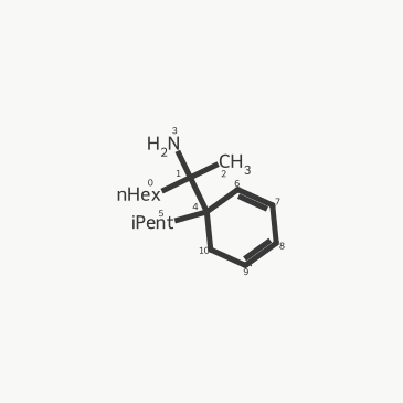 CCCCCCC(C)(N)C1(C(C)CCC)C=CC=[C]C1